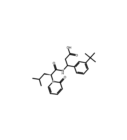 CC(C)C[C@@H](C(=O)NC(CC(=O)O)c1cccc(C(C)(C)C)c1)n1ccccc1=O